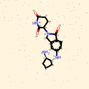 N[C@@H]1CCC[C@H]1Nc1ccc2c(c1)CN(C1CCC(=O)NC1=O)C2=O